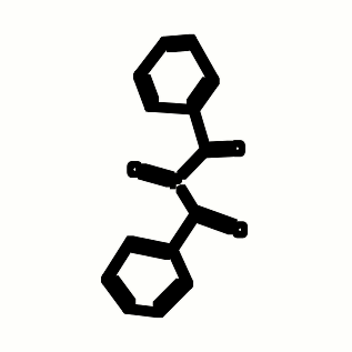 O=C(c1ccccc1)[P](=O)C(=O)c1ccccc1